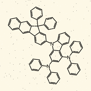 c1ccc(N(c2ccccc2)c2cc(N(c3ccccc3)c3ccccc3)c3c4ccccc4n(-c4ccc5c(c4)C(c4ccccc4)(c4ccccc4)c4cc6ccccc6cc4-5)c3c2)cc1